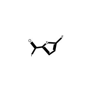 O=C(I)c1ccc(F)s1